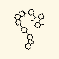 CCC(c1cccc(-c2ccc3ccc4ccc(-c5ccc(-c6ccc7sc8ccccc8c7c6)cc5)nc4c3n2)c1)c1ccccc1-c1ccccc1C